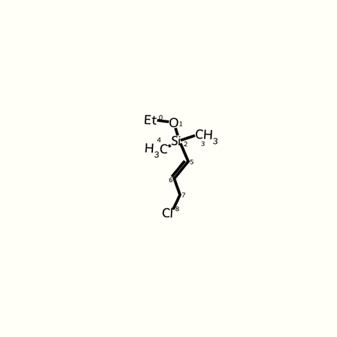 CCO[Si](C)(C)C=CCCl